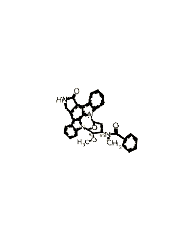 CO[C@H]1C2OC(C[C@H]1N(C)C(=O)c1ccccc1)n1c3ccccc3c3c4c(c5c6ccccc6n2c5c31)CNC4=O